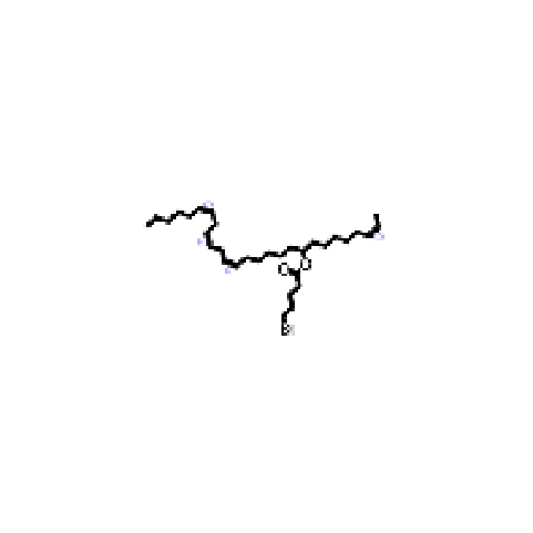 C/C=C\CCCCCC(CCCCC/C=C\C/C=C\C/C=C\CCCCC)OC(=O)CCCCBr